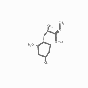 CCCCC/C(=N/C)N(C)C[C@@H]1CCC(C#N)C[C@@H]1C